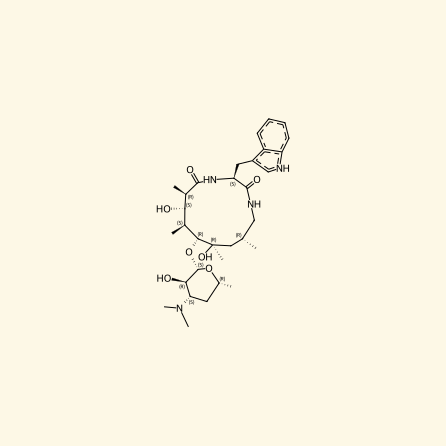 C[C@H]1CNC(=O)[C@H](Cc2c[nH]c3ccccc23)NC(=O)[C@H](C)[C@@H](O)[C@H](C)[C@@H](O[C@@H]2O[C@H](C)C[C@H](N(C)C)[C@H]2O)[C@](C)(O)C1